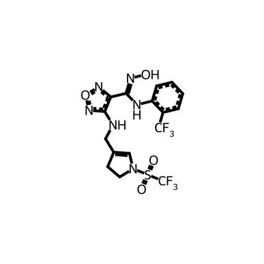 O=S(=O)(N1C=C(CNc2nonc2/C(=N/O)Nc2ccccc2C(F)(F)F)CC1)C(F)(F)F